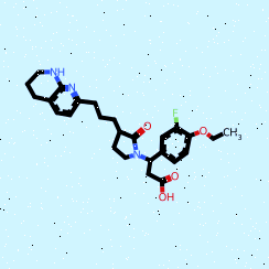 CCOc1ccc(C(CC(=O)O)N2CCC(CCCc3ccc4c(n3)NCCC4)C2=O)cc1F